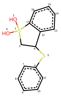 OS1(O)CC(Sc2ccccc2)c2ccccc21